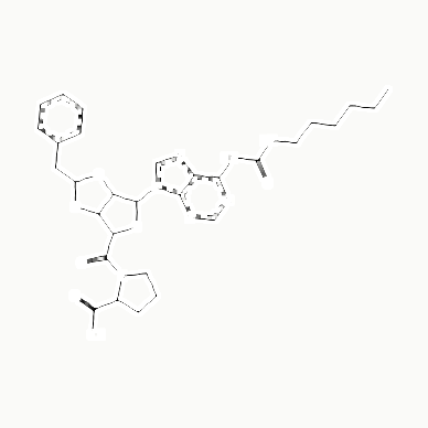 CCCCCCNC(=O)Nc1ncnc2c1ncn2C1OC(C(=O)N2CCCC2C(=O)O)C2OC(Cc3ccccc3)OC21